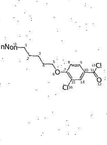 CCCCCCCCCCCCCCOc1ccc(C(=O)Cl)cc1Cl